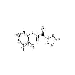 O=C(NCc1nnc[nH]c1=O)C1CCCC1